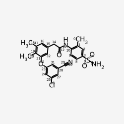 Cc1cc(S(N)(=O)=O)ccc1NC(=O)Cc1cc(C)c(C)c(Oc2cc(Cl)cc(C#N)c2)c1